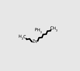 CCCCCCC[CH2][Zn][CH2]CCC.P